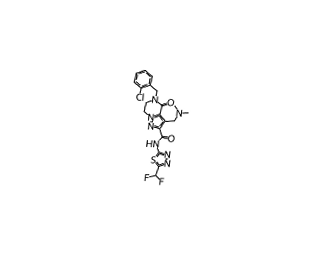 CN(C)Cc1c(C(=O)Nc2nnc(C(F)F)s2)nn2c1C(=O)N(Cc1ccccc1Cl)CC2